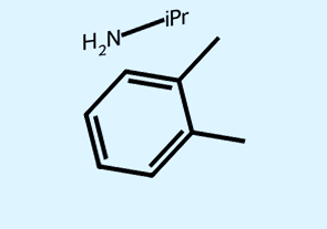 CC(C)N.Cc1ccccc1C